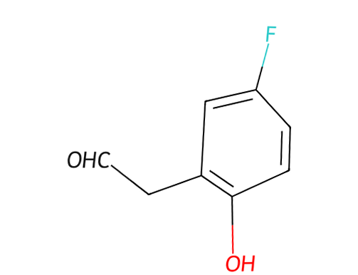 O=CCc1cc(F)ccc1O